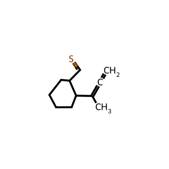 C=C=C(C)C1CCCCC1C=S